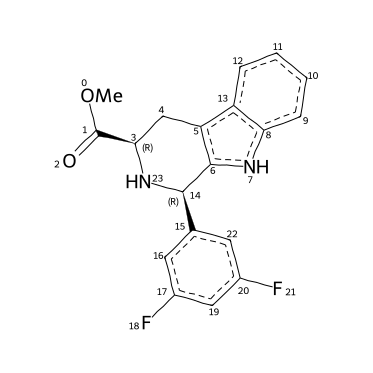 COC(=O)[C@H]1Cc2c([nH]c3ccccc23)[C@@H](c2cc(F)cc(F)c2)N1